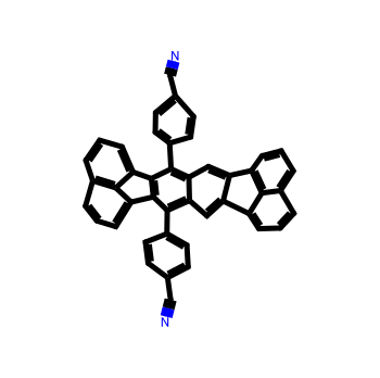 N#Cc1ccc(-c2c3cc4c(cc3c(-c3ccc(C#N)cc3)c3c5cccc6cccc(c23)c65)c2cccc3cccc4c32)cc1